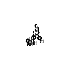 CCN1CCN(CC(C(=O)N2CCN(C(=N)C3=C(NC)CC[C@H]3C)CC2)c2ccc(Cl)cc2)CC1